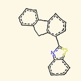 c1ccc2c(c1)Cc1c(-c3nc4ccccc4s3)cccc1-2